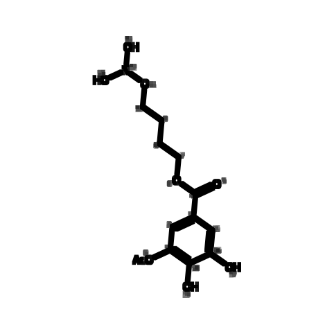 CC(=O)Oc1cc(C(=O)OCCCCON(O)O)cc(O)c1O